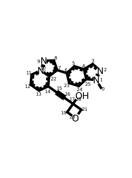 Cn1ncc2cc(-c3cnn4cccc(C#CC5(O)COC5)c34)ccc21